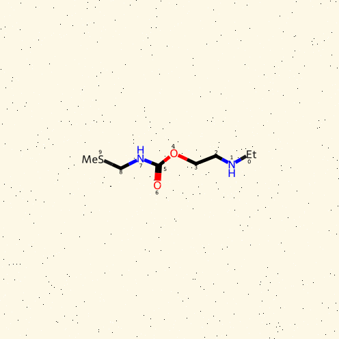 CCNCCOC(=O)NCSC